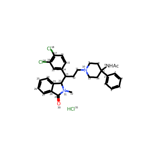 CC(=O)NC1(c2ccccc2)CCN(CCC(c2ccc(Cl)c(Cl)c2)C2c3ccccc3C(=O)N2C)CC1.Cl